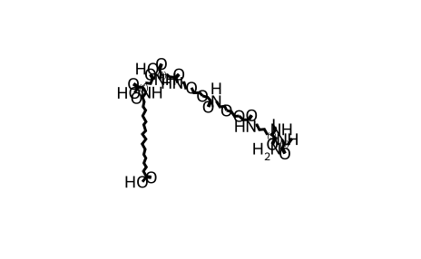 CC[C@H](NC(=O)[C@H](CCCCNC(=O)COCCOCCNC(=O)COCCOCCNC(=O)CC[C@H](NC(=O)CC[C@H](NC(=O)CCCCCCCCCCCCCCCCC(=O)O)C(=O)O)C(=O)O)NI)C(N)=O